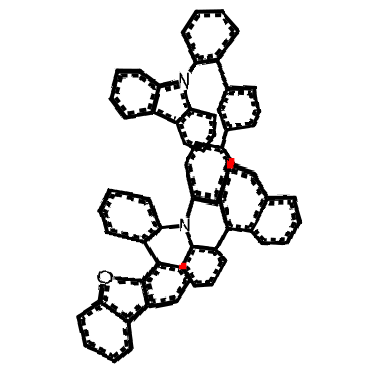 c1cc(-c2ccc(N(c3ccccc3-c3cccc4ccccc34)c3ccccc3-c3cccc4c3oc3ccccc34)cc2)cc(-c2ccccc2-n2c3ccccc3c3ccccc32)c1